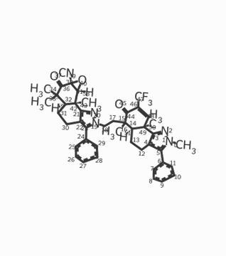 Cn1nc2c(c1-c1ccccc1)CC[C@H]1C(C)(CCn3nc4c(c3-c3ccccc3)CC[C@H]3C(C)(C)C(=O)[C@]5(C#N)O[C@@H]5[C@]43C)C(=O)C(C(F)(F)F)=C[C@]21C